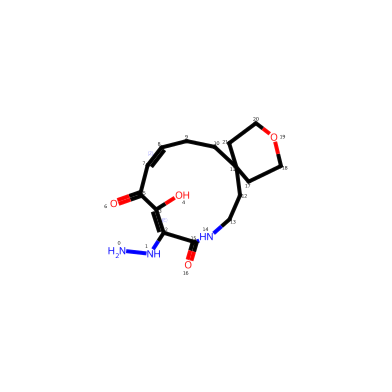 NN/C1=C(/O)C(=O)/C=C\CCC2(CCNC1=O)CCOCC2